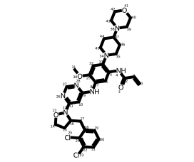 C=CC(=O)Nc1cc(Nc2cc(N3OCCC3Cc3cccc(Cl)c3Cl)ncn2)c(OC)cc1N1CCC(N2CCOCC2)CC1